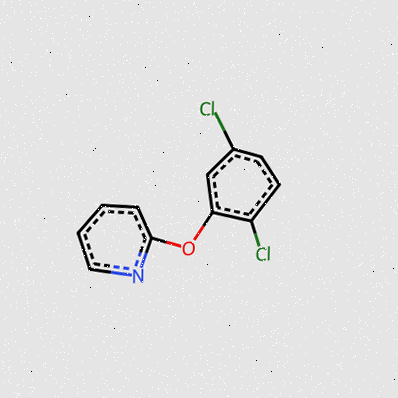 Clc1ccc(Cl)c(Oc2ccccn2)c1